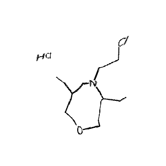 CC1COCC(C)N1CCCl.Cl